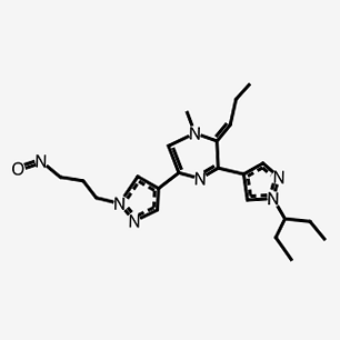 CC/C=C1/C(c2cnn(C(CC)CC)c2)=NC(c2cnn(CCCN=O)c2)=CN1C